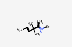 C=C(NCC)C(C)(C)/C=C/C